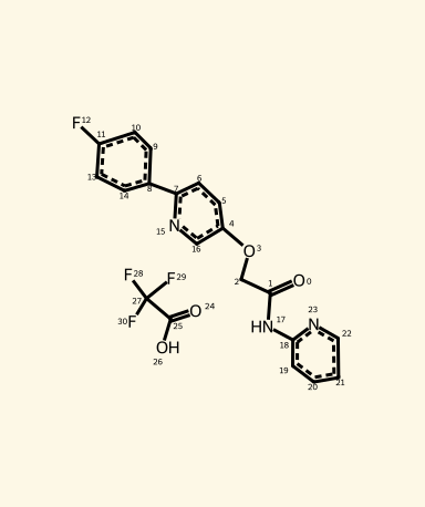 O=C(COc1ccc(-c2ccc(F)cc2)nc1)Nc1ccccn1.O=C(O)C(F)(F)F